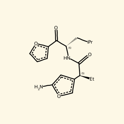 CC[C@H](C(=O)N[C@@H](CC(C)C)C(=O)c1ccco1)c1coc(N)c1